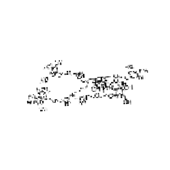 CC(=O)N[C@H]1[C@H](OCCOCCn2cc(CN(CCCCC(N(Cc3cn(CCOCCO[C@H]4C[C@@H](O)[C@@H](O)[C@@H](CO)O4)nn3)Cc3cn(CCOCCO[C@H]4C[C@@H](O)[C@@H](O)[C@@H](CO)O4)nn3)C(C)(C)C)Cc3cn(CCOCCO[C@@H]4O[C@H](CO)[C@H](O)[C@H](O)[C@H]4NC(C)=O)nn3)nn2)O[C@H](CO)[C@H](O)[C@@H]1O